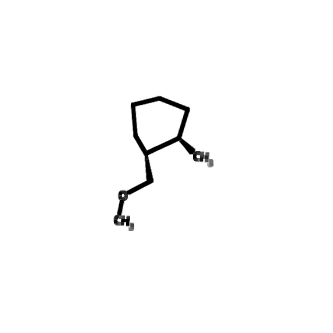 COC[C@H]1CCCC[C@H]1C